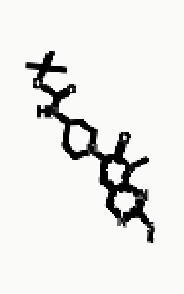 CSc1ncc2cc(N3CCC(NC(=O)OC(C)(C)C)CC3)c(=O)n(C)c2n1